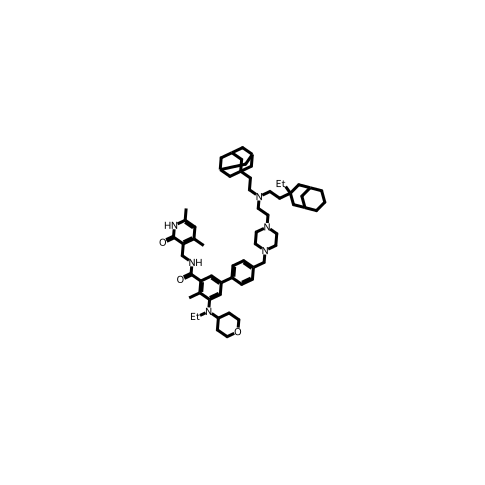 CCN(c1cc(-c2ccc(CN3CCN(CCN(CCC4(CC)CC5CCCC(C5)C4)CCC45CC6CC(CC(C6)C4)C5)CC3)cc2)cc(C(=O)NCc2c(C)cc(C)[nH]c2=O)c1C)C1CCOCC1